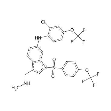 CNCc1cn(S(=O)(=O)c2ccc(OC(F)(F)F)cc2)c2cc(Nc3ccc(OC(F)(F)F)cc3Cl)ccc12